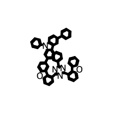 c1ccc(-c2ccc3c(c2)c2ccc(-c4ccc5oc6cccc(-c7nc(-c8ccccc8)nc(-c8cccc9oc%10ccccc%10c89)n7)c6c5c4)cc2n3-c2ccccc2)cc1